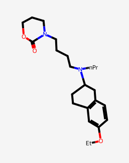 CCCN(CCCCN1CCCOC1=O)C1CCc2cc(OCC)ccc2C1